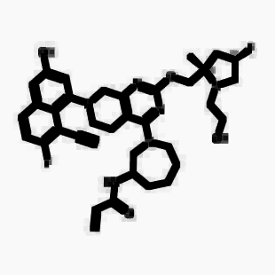 C#Cc1c(F)ccc2cc(O)cc(N3CCc4c(nc(OC[C@]5(C)C[C@@H](F)CN5CCO)nc4N4CCCCC(NC(=O)C=C)C4)C3)c12